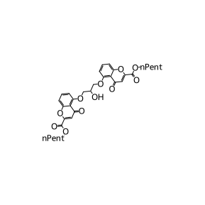 CCCCCOC(=O)c1cc(=O)c2c(OCC(O)COc3cccc4oc(C(=O)OCCCCC)cc(=O)c34)cccc2o1